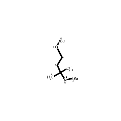 CC(C)(C)NC(C)(C)CCOC(C)(C)C